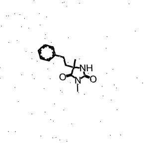 CC1(CCc2ccccc2)NC(=O)N(I)C1=O